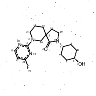 O=C1N([C@H]2CC[C@H](O)CC2)CCC12CCCN(c1nccc(F)n1)C2